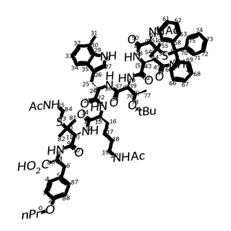 CCCOc1ccc(C[C@H](NC(=O)[C@@H](NC(=O)[C@H](CCCCNC(C)=O)NC(=O)[C@H](Cc2c[nH]c3c(C)cccc23)NC(=O)[C@@H](NC(=O)[C@H](CC(N)=O)NC(=O)[C@@H](NC(C)=O)C(C)(C)SC(c2ccccc2)(c2ccccc2)c2ccccc2)[C@@H](C)OC(C)(C)C)C(C)(C)SCNC(C)=O)C(=O)O)cc1